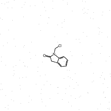 O=C1Cc2ccccc2N1CCl